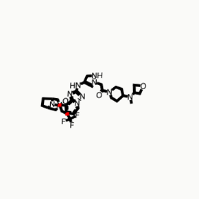 CN(C1CCN(C(=O)CN2C=C(Nc3nc4c(N5CC6CCC(C5)N6C(=O)CCC(F)(F)F)cccn4n3)CN2)CC1)C1COC1